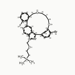 C[Si](C)(C)CCOCn1nc2c3cc(ncc31)-c1c(F)cccc1COCCCOc1cc-2ccc1Br